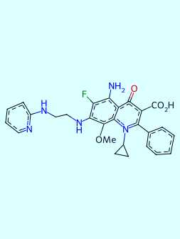 COc1c(NCCNc2ccccn2)c(F)c(N)c2c(=O)c(C(=O)O)c(-c3ccccc3)n(C3CC3)c12